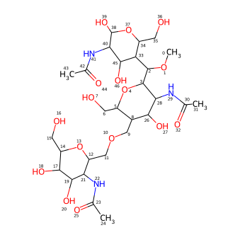 COC(C1OC(CO)C(COCC2OC(CO)C(O)C(O)C2NC(C)=O)C(O)C1NC(C)=O)C1C(CO)OC(O)C(NC(C)=O)C1O